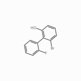 Oc1cccc(Br)c1-c1ccccc1F